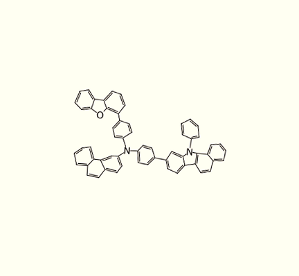 c1ccc(-n2c3cc(-c4ccc(N(c5ccc(-c6cccc7c6oc6ccccc67)cc5)c5ccc6ccc7ccccc7c6c5)cc4)ccc3c3ccc4ccccc4c32)cc1